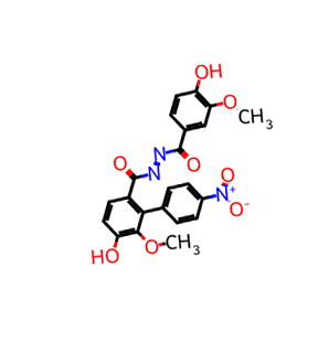 COc1cc(C(=O)N=NC(=O)c2ccc(O)c(OC)c2-c2ccc([N+](=O)[O-])cc2)ccc1O